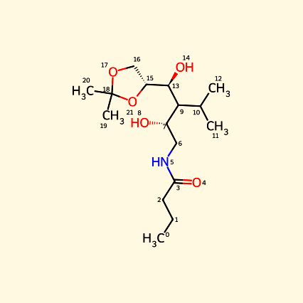 CCCC(=O)NC[C@H](O)C(C(C)C)[C@H](O)[C@H]1COC(C)(C)O1